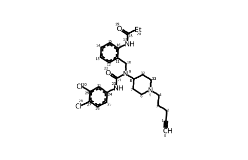 C#CCCCN1CCC(N(Cc2ccccc2NC(=O)CC)C(=O)Nc2ccc(Cl)c(Cl)c2)CC1